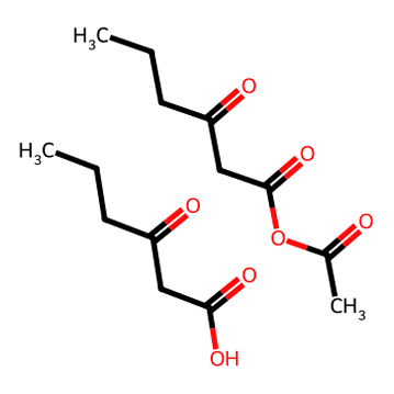 CCCC(=O)CC(=O)O.CCCC(=O)CC(=O)OC(C)=O